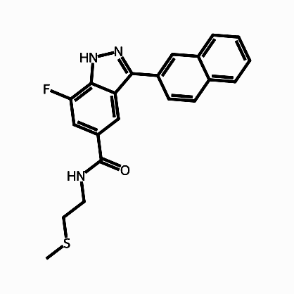 CSCCNC(=O)c1cc(F)c2[nH]nc(-c3ccc4ccccc4c3)c2c1